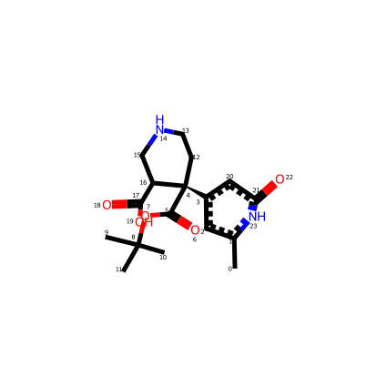 Cc1cc([C@]2(C(=O)OC(C)(C)C)CCNCC2C(=O)O)cc(=O)[nH]1